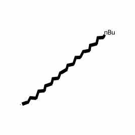 [CH]=CC=CC=CC=CC=CC=CC=CC=CC=CC=CC=CCCCC